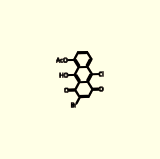 CC(=O)Oc1cccc2c(Cl)c3c(c(O)c12)C(=O)C(Br)=CC3=O